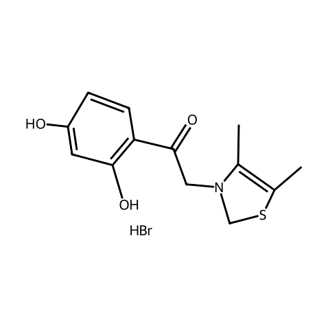 Br.CC1=C(C)N(CC(=O)c2ccc(O)cc2O)CS1